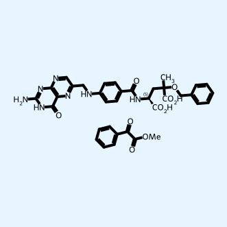 CC(C[C@H](NC(=O)c1ccc(NCc2cnc3nc(N)[nH]c(=O)c3n2)cc1)C(=O)O)(OCc1ccccc1)C(=O)O.COC(=O)C(=O)c1ccccc1